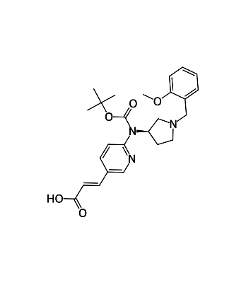 COc1ccccc1CN1CC[C@@H](N(C(=O)OC(C)(C)C)c2ccc(/C=C/C(=O)O)cn2)C1